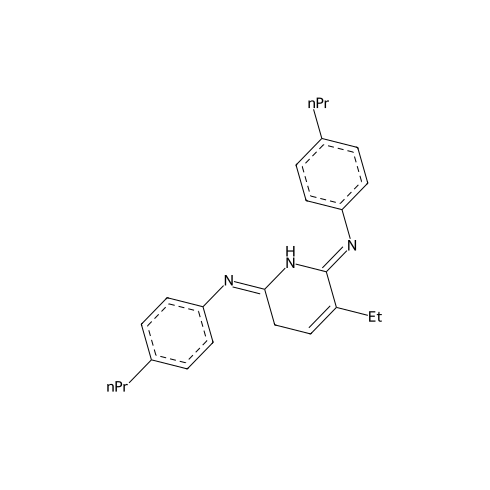 CCCc1ccc(N=C2CC=C(CC)C(=Nc3ccc(CCC)cc3)N2)cc1